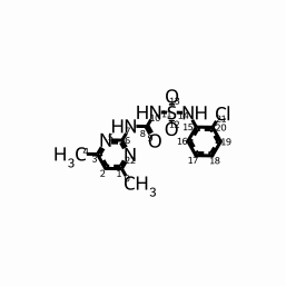 Cc1cc(C)nc(NC(=O)NS(=O)(=O)Nc2ccccc2Cl)n1